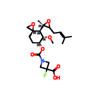 CO[C@@H]1[C@H](OC(=O)N2CC(F)(C(=O)O)C2)CC[C@]2(CO2)[C@H]1[C@@]1(C)OC1CC=C(C)C